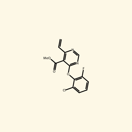 C=Cc1ncnc(Oc2c(F)cccc2Cl)c1C(=O)OC